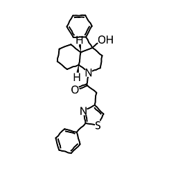 O=C(Cc1csc(-c2ccccc2)n1)N1CCC(O)(c2ccccc2)[C@H]2CCCC[C@H]21